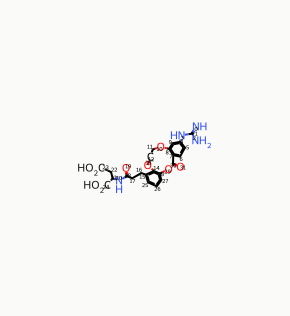 N=C(N)Nc1ccc2c(c1)OCCOc1c(CCC(=O)NC(CC(=O)O)C(=O)O)cccc1OC2=O